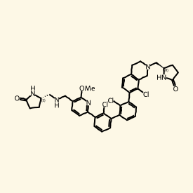 COc1nc(-c2cccc(-c3cccc(-c4ccc5c(c4Cl)CN(C[C@H]4CCC(=O)N4)CC5)c3Cl)c2Cl)ccc1CNC[C@@H]1CCC(=O)N1